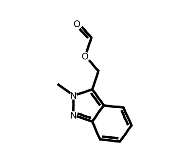 Cn1nc2ccccc2c1COC=O